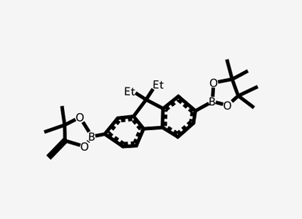 C=C1OB(c2ccc3c(c2)C(CC)(CC)c2cc(B4OC(C)(C)C(C)(C)O4)ccc2-3)OC1(C)C